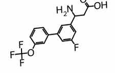 NC(CC(=O)O)c1cc(F)cc(-c2cccc(OC(F)(F)F)c2)c1